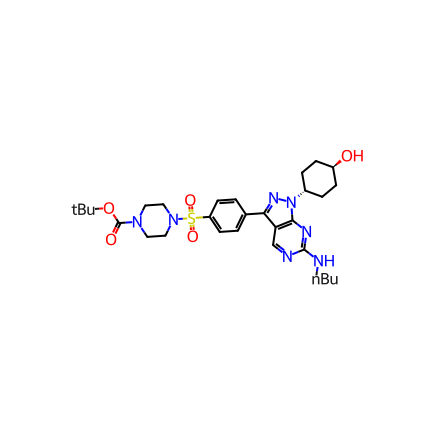 CCCCNc1ncc2c(-c3ccc(S(=O)(=O)N4CCN(C(=O)OC(C)(C)C)CC4)cc3)nn([C@H]3CC[C@H](O)CC3)c2n1